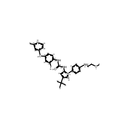 COCCNc1ccc(-n2nc(C(C)(C)C)cc2NC(=O)Nc2ccc(Oc3ccnc(C)c3)cc2F)cc1